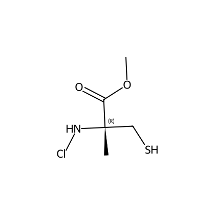 COC(=O)[C@](C)(CS)NCl